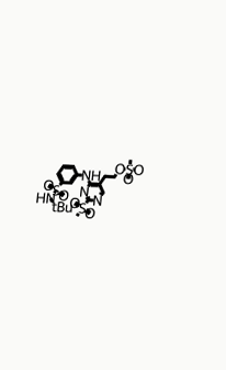 CC(C)(C)NS(=O)(=O)c1cccc(Nc2nc(S(C)(=O)=O)ncc2CCOS(C)(=O)=O)c1